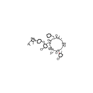 COC[C@@H]1NC(=O)[C@H](C)N(Cc2ccc(Cl)cc2Oc2ccc(-n3nnc(CN(C)C)c3C)cc2)C(=O)C[C@@H](Cc2ccccc2)C(=O)N(C)[C@@H](C)CNC(=O)C[C@H](Cc2ccc(Cl)cc2)N(C)C1=O